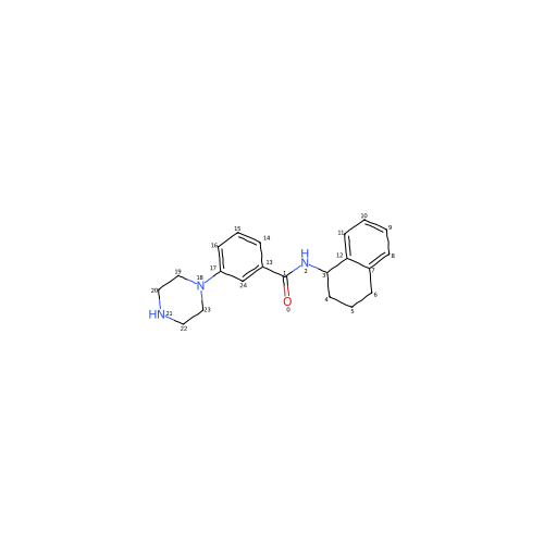 O=C(NC1CCCc2ccccc21)c1cccc(N2CCNCC2)c1